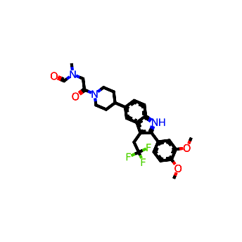 COc1ccc(-c2[nH]c3ccc(C4CCN(C(=O)CN(C)C=O)CC4)cc3c2CC(F)(F)F)cc1OC